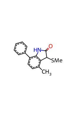 CSC1C(=O)Nc2c(-c3ccccc3)ccc(C)c21